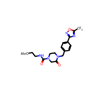 COCCNC(=O)N1CCN(Cc2ccc(-c3noc(C(F)(F)F)n3)cc2)C(=O)C1